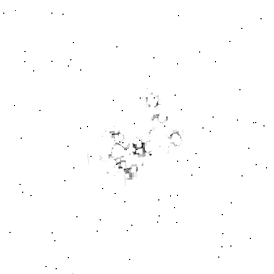 C=CCN1CC[C@]23c4c5c(O)cc(OC(C)=O)c4O[C@H]2[C@H](N(CCCc2ccccc2)C(=O)CCCCC(=O)c2ccccc2)CC[C@H]3[C@H]1C5